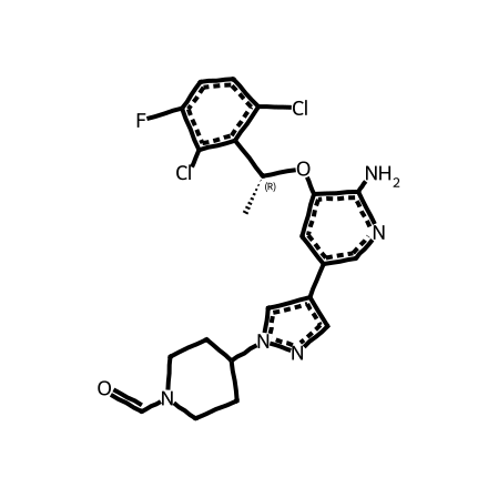 C[C@@H](Oc1cc(-c2cnn(C3CCN(C=O)CC3)c2)cnc1N)c1c(Cl)ccc(F)c1Cl